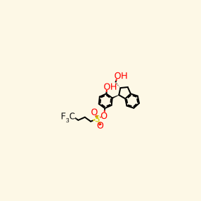 O=S(=O)(CCCC(F)(F)F)Oc1ccc(O)c([C@@H]2c3ccccc3C[C@H]2CO)c1